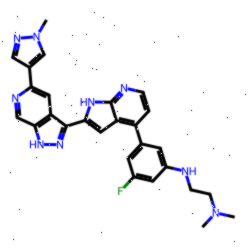 CN(C)CCNc1cc(F)cc(-c2ccnc3[nH]c(-c4n[nH]c5cnc(-c6cnn(C)c6)cc45)cc23)c1